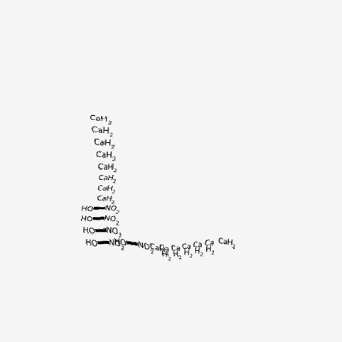 O=[N+]([O-])O.O=[N+]([O-])O.O=[N+]([O-])O.O=[N+]([O-])O.O=[N+]([O-])O.[CaH2].[CaH2].[CaH2].[CaH2].[CaH2].[CaH2].[CaH2].[CaH2].[CaH2].[CaH2].[CaH2].[CaH2].[CaH2].[CaH2].[CaH2]